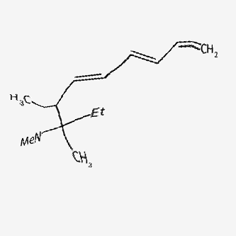 C=C/C=C/C=C/C(C)C(C)(CC)NC